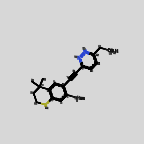 CCCCCCc1cc2c(cc1C#Cc1ccc(CC(=O)O)nn1)C(C)(C)CCS2